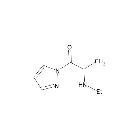 CCNC(C)C(=O)n1cccn1